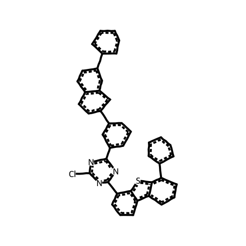 Clc1nc(-c2cccc(-c3ccc4ccc(-c5ccccc5)cc4c3)c2)nc(-c2cccc3c2sc2c(-c4ccccc4)cccc23)n1